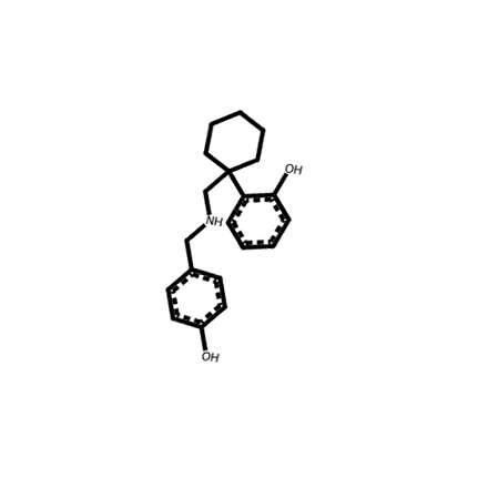 Oc1ccc(CNCC2(c3ccccc3O)CCCCC2)cc1